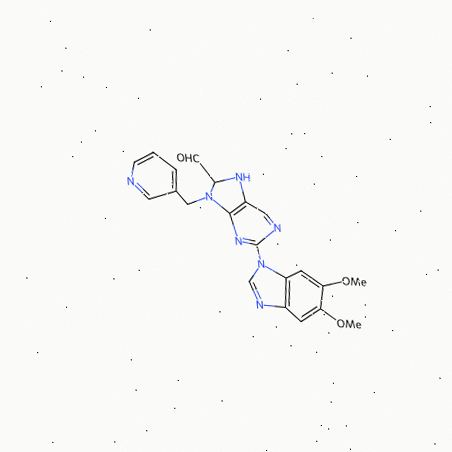 COc1cc2ncn(-c3ncc4c(n3)N(Cc3cccnc3)C(C=O)N4)c2cc1OC